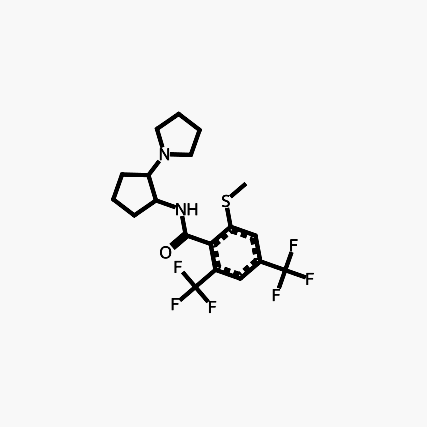 CSc1cc(C(F)(F)F)cc(C(F)(F)F)c1C(=O)NC1CCCC1N1CCCC1